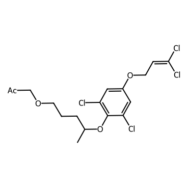 CC(=O)COCCCC(C)Oc1c(Cl)cc(OCC=C(Cl)Cl)cc1Cl